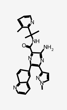 Cc1cccnc1C(C)(C)NC(=O)c1nc(-c2ccc3ncccc3c2)c(-c2ccn(C)n2)nc1N